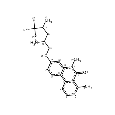 Cc1nccc2c1c(=O)n(C)c1cc(OCC(N)CC(C)C(F)(F)F)ccc21